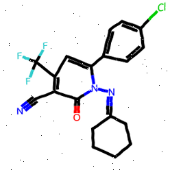 N#Cc1c(C(F)(F)F)cc(-c2ccc(Cl)cc2)n(N=C2CCCCC2)c1=O